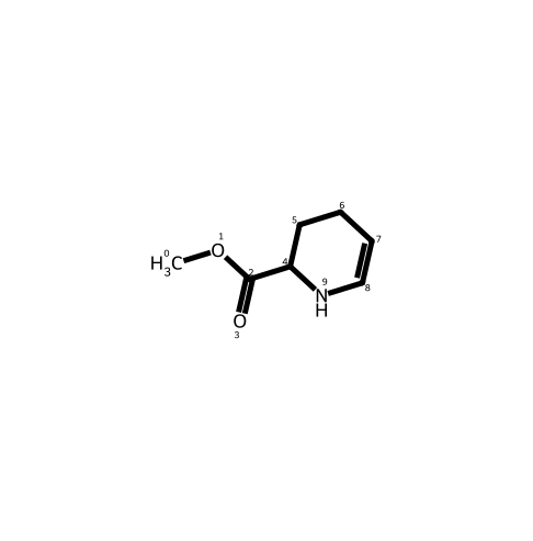 COC(=O)C1CCC=CN1